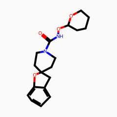 O=C(NOC1CCCCO1)N1CCC2(CC1)Cc1ccccc1O2